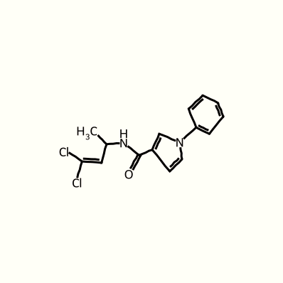 CC(C=C(Cl)Cl)NC(=O)c1ccn(-c2ccccc2)c1